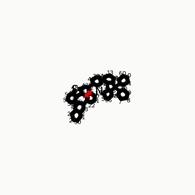 c1ccc(C2(c3ccccc3)c3ccccc3-c3c(N(c4ccc(-c5ccc6ccccc6c5)cc4)c4ccccc4-c4ccc5c(c4)sc4ccccc45)cccc32)cc1